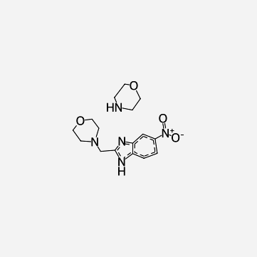 C1COCCN1.O=[N+]([O-])c1ccc2[nH]c(CN3CCOCC3)nc2c1